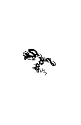 CCOC(=O)Cc1ccccc1OCc1nn(C2CCN(CCOC)C2)c2ccc(-c3ccc4ccnc(N)c4c3)cc12